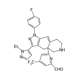 CCn1nccc1-c1nn(-c2ccc(F)cc2)c2c1CC1(c3cc(C(F)(F)F)cc(C=O)n3)CNCCC1=C2